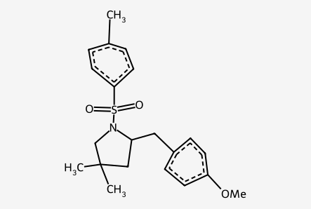 COc1ccc(CC2CC(C)(C)CN2S(=O)(=O)c2ccc(C)cc2)cc1